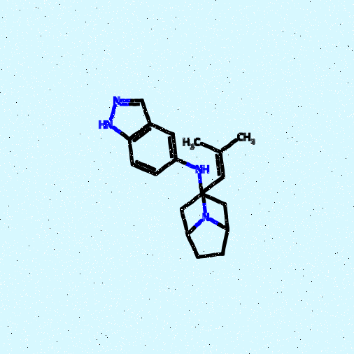 CC(C)=CCN1C2CCC1CC(Nc1ccc3[nH]ncc3c1)C2